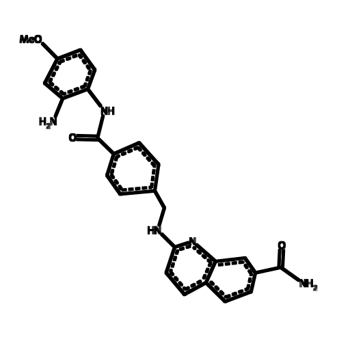 COc1ccc(NC(=O)c2ccc(CNc3ccc4ccc(C(N)=O)cc4n3)cc2)c(N)c1